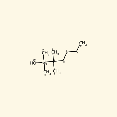 CCCCC(C)(C)[Si](C)(C)O